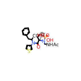 CC(=O)NCN(C(CC(C)C)C(=O)N(c1ccsc1)C(Cc1ccccc1)C(=O)O)P(=O)(O)O